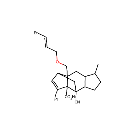 CCC=CCOCC12CC3C(C)CCC3C3(C#N)CC1C=C(C(C)C)C32C(=O)O